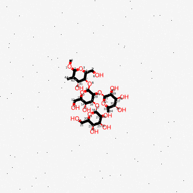 COC1OC(CO)[C@@H](O[C@@H]2OC(CO)[C@H](O)[C@H](O[C@H]3OC(CO)[C@H](O)[C@H](O)C3O)C2O[C@@H]2OC(C)[C@@H](O)[C@H](O)C2O)[C@H](O)C1C